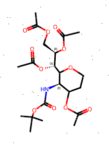 CC(=O)OC[C@@H](OC(C)=O)[C@@H](OC(C)=O)C1OCCC(OC(C)=O)[C@H]1NC(=O)OC(C)(C)C